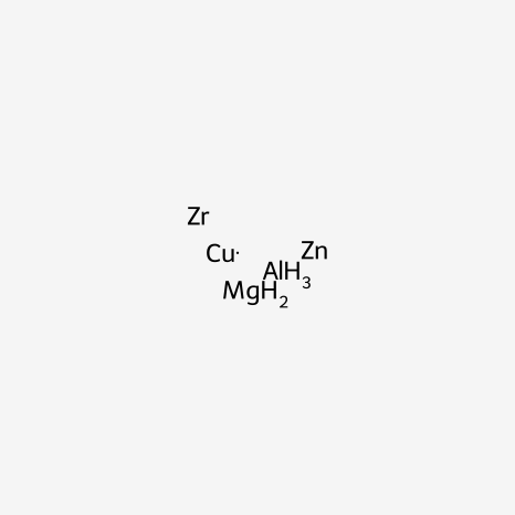 [AlH3].[Cu].[MgH2].[Zn].[Zr]